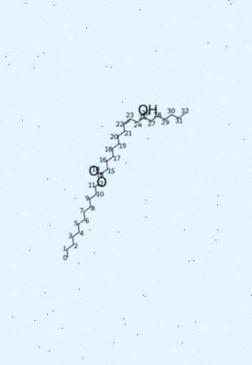 CCCCCCCCCCCCOC(=O)CCCCCCC/C=C\C[C@H](O)CCCCCC